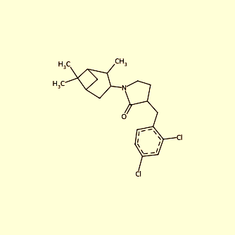 CC1C(N2CCC(Cc3ccc(Cl)cc3Cl)C2=O)CC2CC1C2(C)C